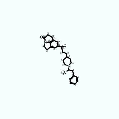 CC(Cc1ccccc1)N1CCC(CCC(=O)c2cc3c4c(c2)CCN4C(=O)CC3)CC1